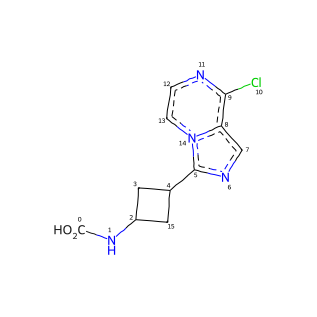 O=C(O)NC1CC(c2ncc3c(Cl)nccn23)C1